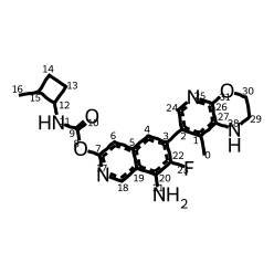 Cc1c(-c2cc3cc(OC(=O)NC4CCC4C)ncc3c(N)c2F)cnc2c1NCCO2